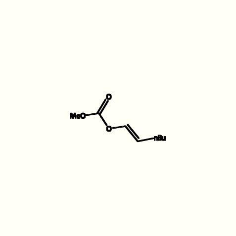 CCCCC=COC(=O)OC